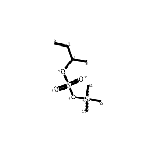 CCC(C)OS(=O)(=O)O[Si](C)(C)C